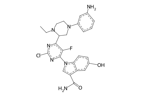 CCN1CCN(c2cccc(N)c2)CC1c1nc(Cl)nc(-n2cc(C(N)=O)c3cc(O)ccc32)c1F